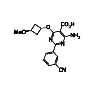 CO[C@H]1C[C@H](Oc2nc(-c3cccc(C#N)c3)nc(N)c2C(=O)O)C1